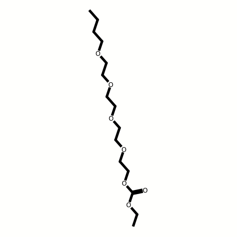 CCCCOCCOCCOCCOCCOC(=O)OCC